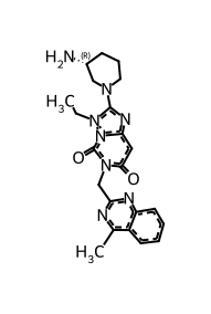 CCn1c(N2CCC[C@@H](N)C2)nc2cc(=O)n(Cc3nc(C)c4ccccc4n3)c(=O)n21